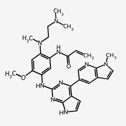 C=CC(=O)Nc1cc(Nc2nc(-c3cnc4c(ccn4C)c3)c3cc[nH]c3n2)c(OC)cc1N(C)CCN(C)C